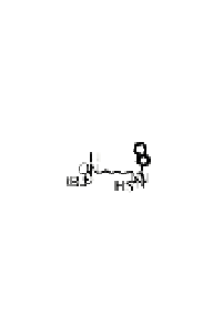 CC(C)(C)OC(=O)NCCCCCCn1c(S)nnc1-c1ccc2ccccc2c1